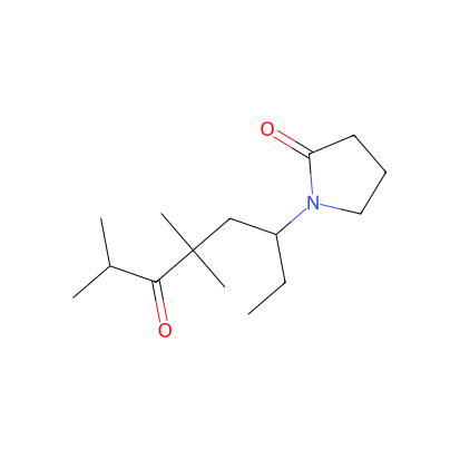 CCC(CC(C)(C)C(=O)C(C)C)N1CCCC1=O